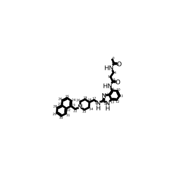 CC(=O)NCCC(=O)Nc1cccc2[nH]c(NCC3CCN(Cc4cccc5ccccc45)CC3)nc12